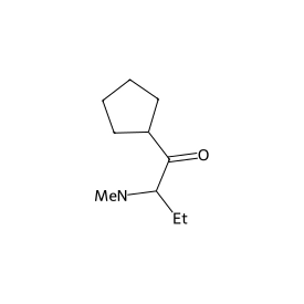 CCC(NC)C(=O)C1CCCC1